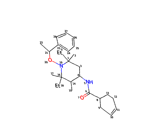 CCC1(C)CC(NC(=O)C2CC=CCC2)C(C)C(C)(CC)N1OC(C)c1ccccc1